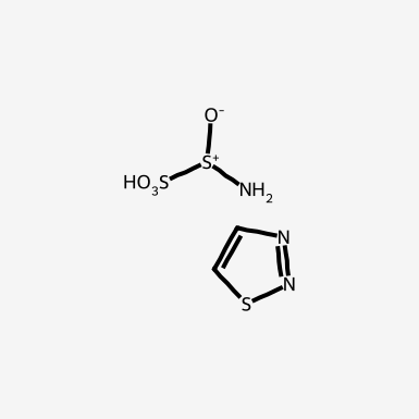 N[S+]([O-])S(=O)(=O)O.c1csnn1